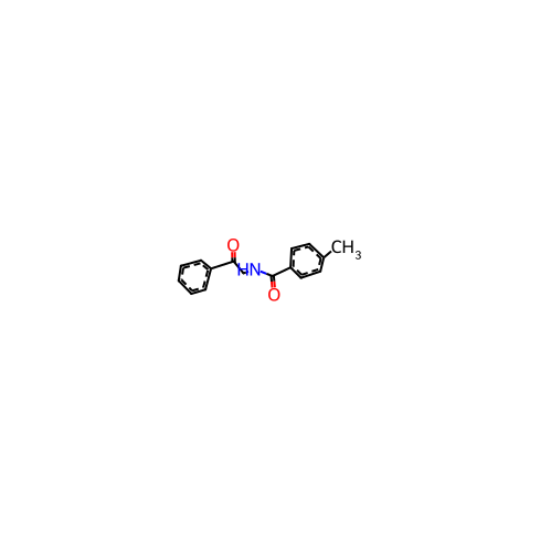 Cc1ccc(C(=O)NCC(=O)c2ccccc2)cc1